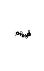 O=C(CN1C=CN(CC(=O)c2cccc(F)c2)C1)c1cccc(F)c1